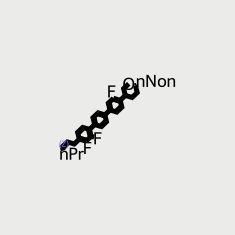 CCC/C=C\Cc1ccc(-c2ccc(-c3ccc(C4CCC(CCCCCCCCC)OC4)c(F)c3)cc2)c(F)c1F